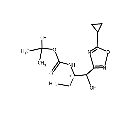 CC[C@H](NC(=O)OC(C)(C)C)C(O)c1noc(C2CC2)n1